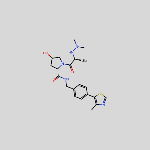 Cc1ncsc1-c1ccc(CNC(=O)[C@@H]2C[C@@H](O)CN2C(=O)[C@@H](NN(C)C)C(C)(C)C)cc1